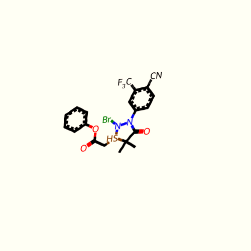 CC1(C)C(=O)N(c2ccc(C#N)c(C(F)(F)F)c2)N(Br)[SH]1CC(=O)Oc1ccccc1